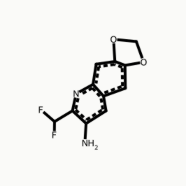 Nc1cc2cc3c(cc2nc1C(F)F)OCO3